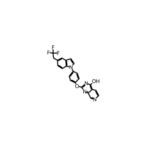 Oc1nc(Oc2ccc(-n3ccc4cc(CC(F)(F)F)ccc43)cc2)nc2cnccc12